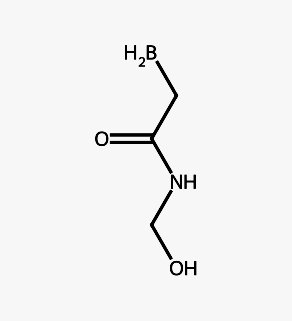 BCC(=O)NCO